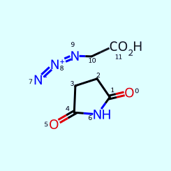 O=C1CCC(=O)N1.[N-]=[N+]=NCC(=O)O